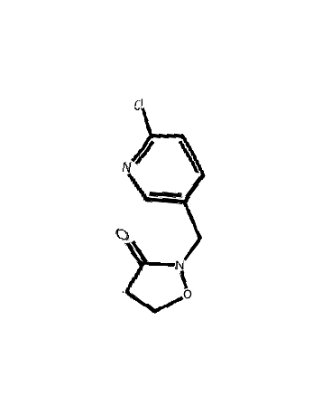 O=C1[CH]CON1Cc1ccc(Cl)nc1